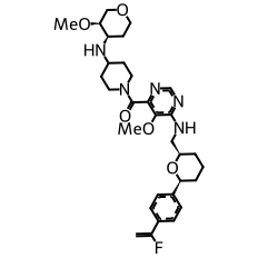 C=C(F)c1ccc([C@@H]2CCC[C@H](CNc3ncnc(C(=O)N4CCC(N[C@@H]5CCOC[C@@H]5OC)CC4)c3OC)O2)cc1